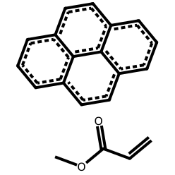 C=CC(=O)OC.c1cc2ccc3cccc4ccc(c1)c2c34